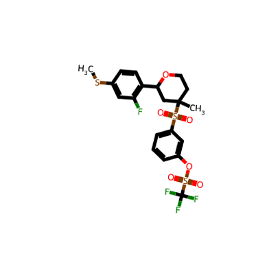 CSc1ccc(C2CC(C)(S(=O)(=O)c3cccc(OS(=O)(=O)C(F)(F)F)c3)CCO2)c(F)c1